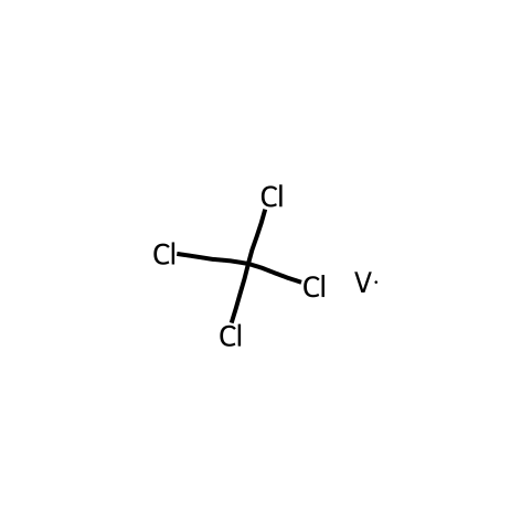 ClC(Cl)(Cl)Cl.[V]